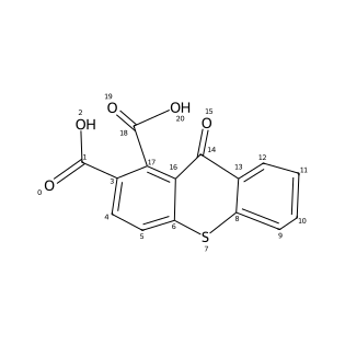 O=C(O)c1ccc2sc3ccccc3c(=O)c2c1C(=O)O